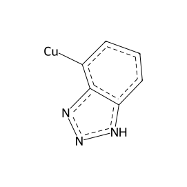 [Cu][c]1cccc2[nH]nnc12